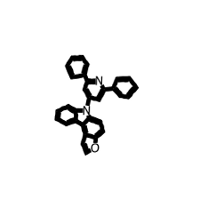 c1ccc(-c2cc(-n3c4ccccc4c4c5ccoc5ccc43)cc(-c3ccccc3)n2)cc1